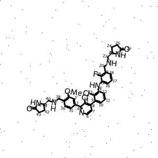 COc1cc(-c2nccc(-c3cccc(Nc4cccc(CNC[C@H]5CCC(=O)N5)c4F)c3Cl)c2Cl)ccc1CNC[C@H]1CCC(=O)N1